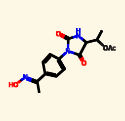 CC(=O)OC(C)C1NC(=O)N(c2ccc(/C(C)=N/O)cc2)C1=O